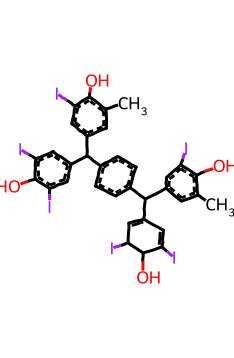 Cc1cc(C(C2=CC(I)C(O)C(I)=C2)c2ccc(C(c3cc(C)c(O)c(I)c3)c3cc(I)c(O)c(I)c3)cc2)cc(I)c1O